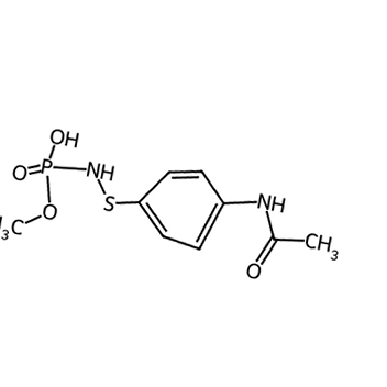 COP(=O)(O)NSc1ccc(NC(C)=O)cc1